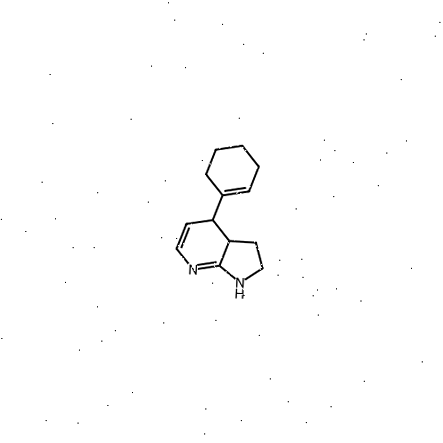 C1=CC(C2=CCCCC2)C2CCNC2=N1